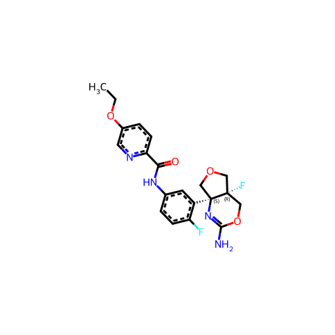 CCOc1ccc(C(=O)Nc2ccc(F)c([C@]34COC[C@@]3(F)COC(N)=N4)c2)nc1